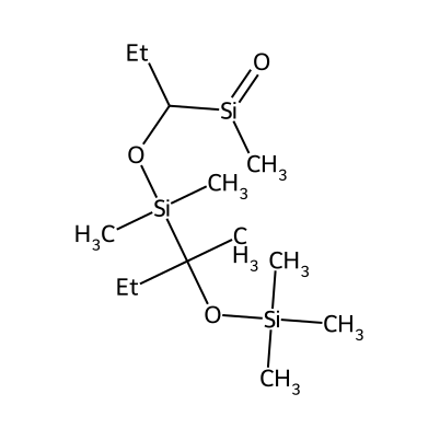 CCC(O[Si](C)(C)C(C)(CC)O[Si](C)(C)C)[Si](C)=O